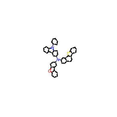 c1ccc(-n2c3ccccc3c3cc(N(c4ccc5oc6ccccc6c5c4)c4ccc5ccc6c7ccccc7sc6c5c4)ccc32)cc1